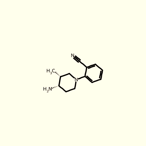 C[C@@H]1CN(c2ccccc2C#N)CC[C@@H]1N